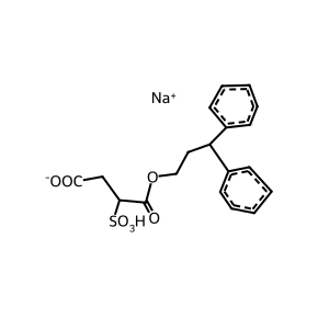 O=C([O-])CC(C(=O)OCCC(c1ccccc1)c1ccccc1)S(=O)(=O)O.[Na+]